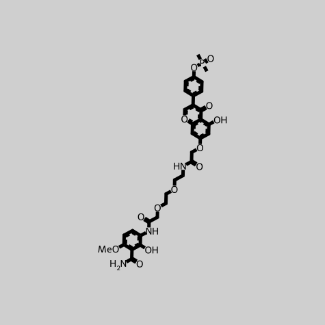 COc1ccc(NC(=O)COCCOCCNC(=O)COc2cc(O)c3c(=O)c(-c4ccc(OP(C)(C)=O)cc4)coc3c2)c(O)c1C(N)=O